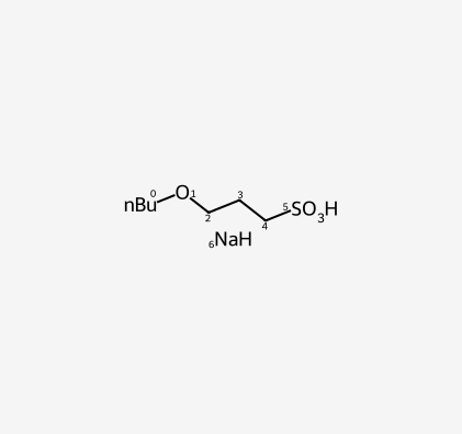 CCCCOCCCS(=O)(=O)O.[NaH]